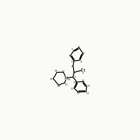 CCC(Cc1ccccc1)C(c1ccccc1)N1CCCCC1